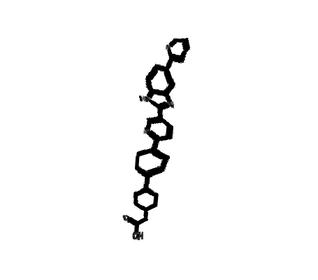 O=C(O)CC1CCC(C2=CC=C(c3ccc(-c4nc5cc(-c6ccccn6)ccc5[nH]4)cn3)CC2)CC1